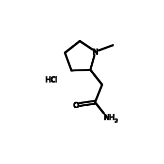 CN1CCCC1CC(N)=O.Cl